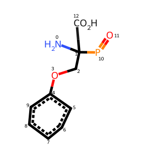 NC(COc1ccccc1)(P=O)C(=O)O